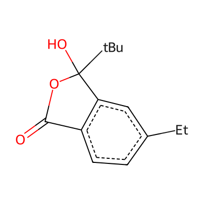 CCc1ccc2c(c1)C(O)(C(C)(C)C)OC2=O